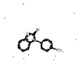 Cc1ccc(-n2c(=O)oc3ccccc32)cc1